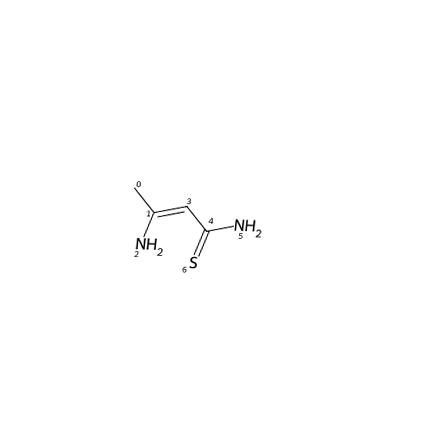 C/C(N)=C/C(N)=S